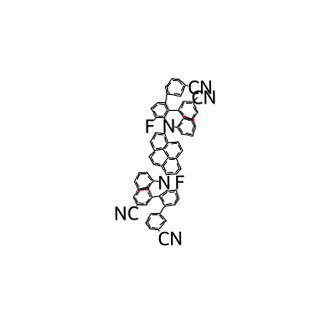 N#Cc1cccc(-c2ccc(F)c(N(c3ccccc3)c3ccc4ccc5c(N(c6ccccc6)c6c(F)ccc(-c7cccc(C#N)c7)c6-c6cccc(C#N)c6)ccc6ccc3c4c65)c2-c2cccc(C#N)c2)c1